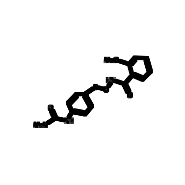 CNC(=O)Nc1ccc(SONC(=O)c2ccccc2OC)cc1